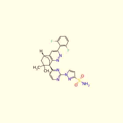 CC1(C)C[C@H]2CC[C@]1(c1ccnc(-n3ccc(S(N)(=O)=O)n3)n1)c1nnc(-c3c(F)cccc3F)cc12